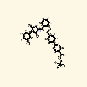 O=C(OCC(F)(F)F)c1ccc(-c2ccc(COc3ccccc3/C=C3\CC(=O)N(c4cccc(Cl)c4)C3=O)cc2)nc1